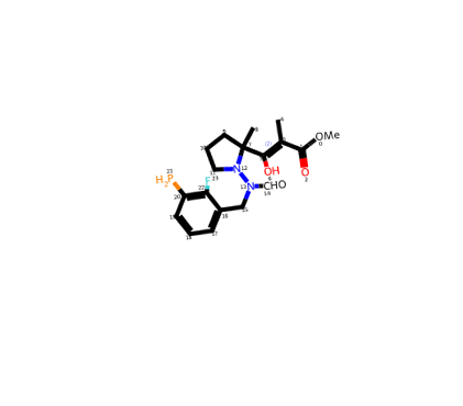 COC(=O)/C(C)=C(\O)C1(C)CCCN1N(C=O)Cc1cccc(P)c1F